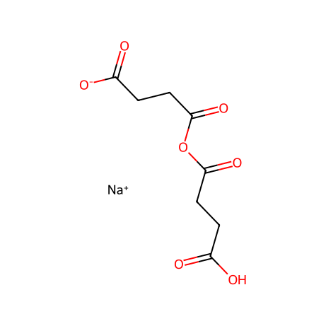 O=C([O-])CCC(=O)OC(=O)CCC(=O)O.[Na+]